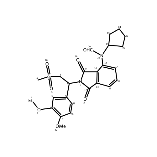 CCOc1cc(C(CS(C)(=O)=O)N2C(=O)c3cccc(N(C=O)C4CCCC4)c3C2=O)ccc1OC